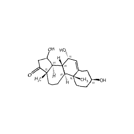 C[C@]12CC[C@H](O)CC1=C[C@@H](O)[C@@H]1[C@@H]2CC[C@]2(C)C(=O)CC(O)[C@@H]12